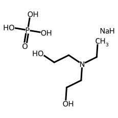 CCN(CCO)CCO.O=P(O)(O)O.[NaH]